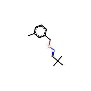 Cc1cccc(CON=CC(C)(C)C)c1